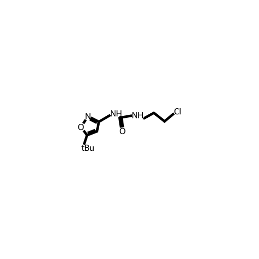 CC(C)(C)c1cc(NC(=O)NCCCCl)no1